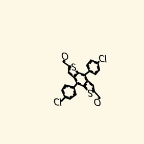 O=Cc1cc2c(-c3ccc(Cl)cc3)c3sc(C=O)cc3c(-c3ccc(Cl)cc3)c2s1